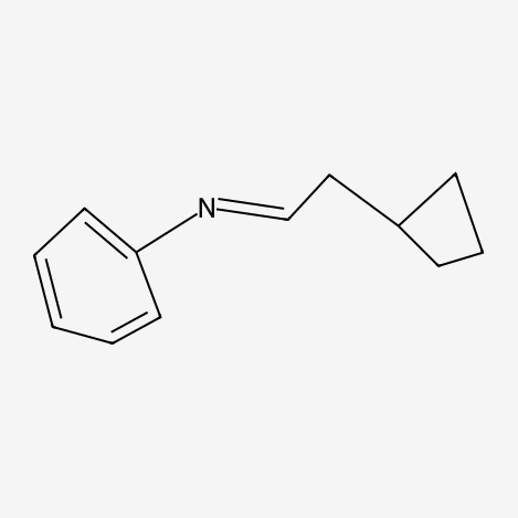 C(CC1CCC1)=Nc1ccccc1